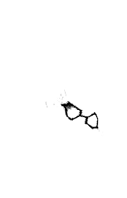 COC1(C)CCC(C2CCC(=O)CC2)CC1